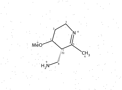 COC1CCN=C(C)[C@@H]1CN